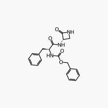 O=C(N[C@@H](Cc1ccccc1)C(=O)N[C@H]1CNC1=O)OCc1ccccc1